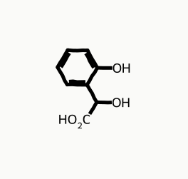 O=C(O)C(O)c1ccccc1O